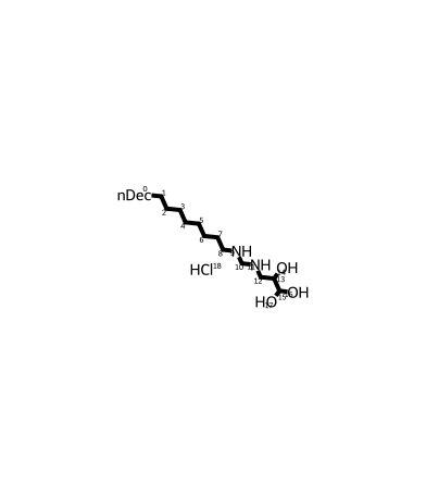 CCCCCCCCCCCCCCCCCCNCNCC(O)C(O)O.Cl